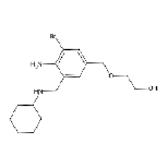 Nc1c(Br)cc(COCCO)cc1CNC1CCCCC1